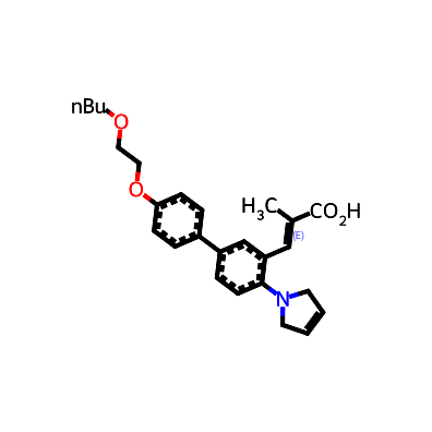 CCCCOCCOc1ccc(-c2ccc(N3CC=CC3)c(/C=C(\C)C(=O)O)c2)cc1